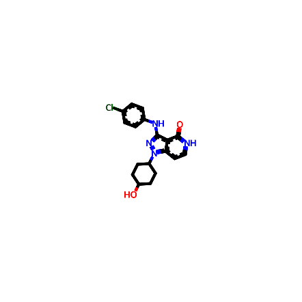 O=c1[nH]ccc2c1c(Nc1ccc(Cl)cc1)nn2C1CCC(O)CC1